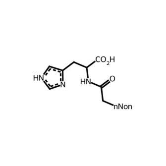 CCCCCCCCCCC(=O)NC(Cc1c[nH]cn1)C(=O)O